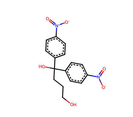 O=[N+]([O-])c1ccc(C(O)(CCCO)c2ccc([N+](=O)[O-])cc2)cc1